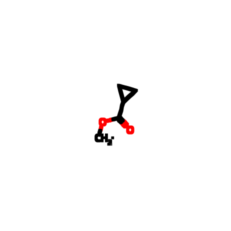 [CH2]OC(=O)C1CC1